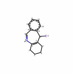 IC1C2=C(CCCC2)N=Cc2ccccc21